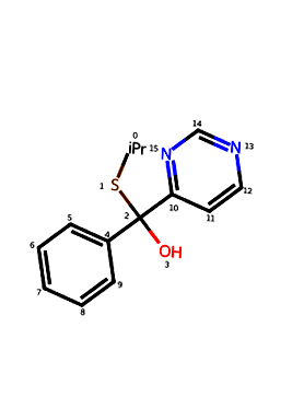 CC(C)SC(O)(c1ccccc1)c1ccncn1